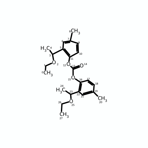 CCOC(C)c1cc(C)ccc1OC(=O)Oc1ccc(C)cc1C(C)OCC